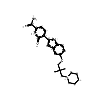 CC(C)(COc1ccc2[nH]c(-c3c[c]c(C(N)=O)[nH]c3=O)cc2c1)CN1CCCCC1